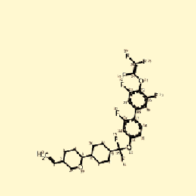 C=CC1CCC(C2CCC(C(F)(F)Oc3ccc(-c4cc(F)c(OC(F)=C(F)F)c(F)c4)c(F)c3)CC2)OC1